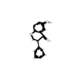 O=C1c2cc(O)ccc2OCC1c1ccccc1